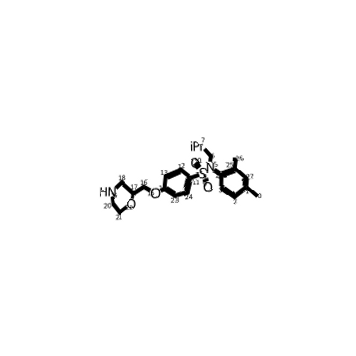 Cc1ccc(N(CC(C)C)S(=O)(=O)c2ccc(OCC3CNCCO3)cc2)c(C)c1